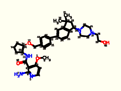 COc1ccnc(N)c1C(=O)N[C@H]1CCC[C@@H]1OCc1ccc(-c2ccc3c(c2)C(C)(C)CC3N2CCN(CCO)CC2)cc1